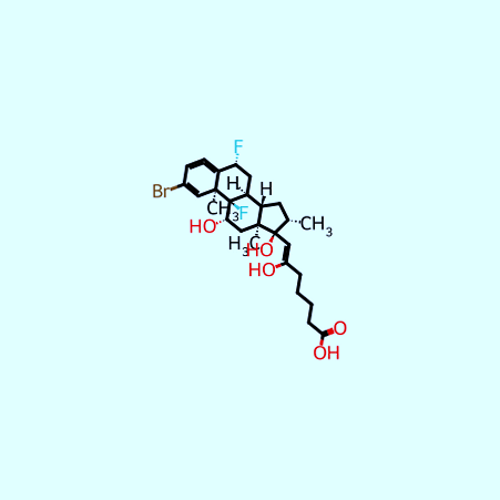 C[C@H]1C[C@H]2[C@@H]3C[C@@H](F)C4=C=CC(Br)=C[C@]4(C)[C@@]3(F)[C@@H](O)C[C@]2(C)[C@@]1(O)C=C(O)CCCCC(=O)O